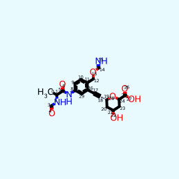 CC(NC=O)C(=O)Nc1ccc(COC=N)c(C#C[C@H]2CC(O)CC(C(=O)O)O2)c1